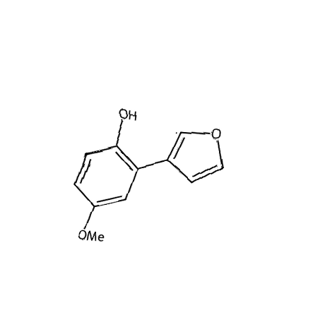 COc1ccc(O)c(-c2[c]occ2)c1